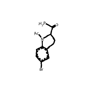 CC(=O)N1c2ccc(Br)cc2CCC1C(=O)P